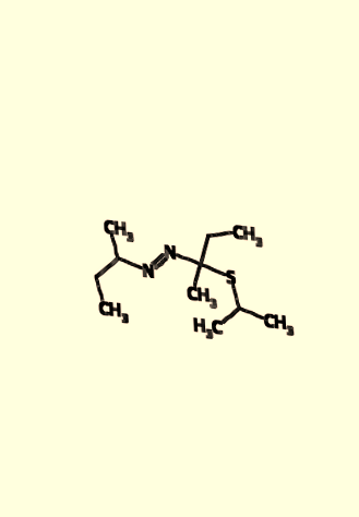 CCC(C)N=NC(C)(CC)SC(C)C